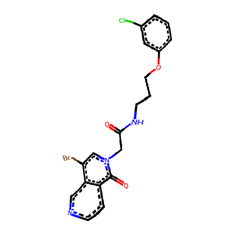 O=C(Cn1cc(Br)c2cnccc2c1=O)NCCCOc1cccc(Cl)c1